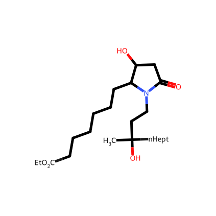 CCCCCCCC(C)(O)CCN1C(=O)CC(O)C1CCCCCCC(=O)OCC